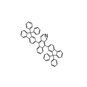 c1ccc(C2(c3ccccc3)c3ccccc3-c3ccc(-c4c5ccccc5c(-c5ccc6c(c5)C(c5ccccc5)(c5ccccc5)c5ccccc5-6)c5cnccc45)cc32)cc1